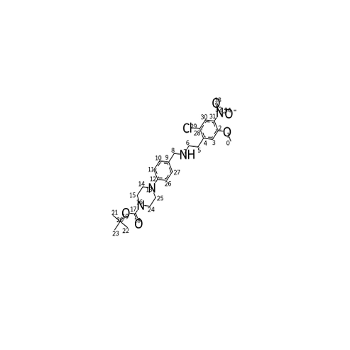 COc1cc(CCNCc2ccc(N3CCN(C(=O)OC(C)(C)C)CC3)cc2)c(Cl)cc1[N+](=O)[O-]